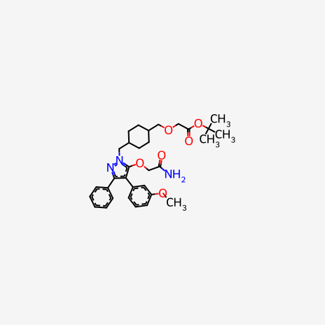 COc1cccc(-c2c(-c3ccccc3)nn(CC3CCC(COCC(=O)OC(C)(C)C)CC3)c2OCC(N)=O)c1